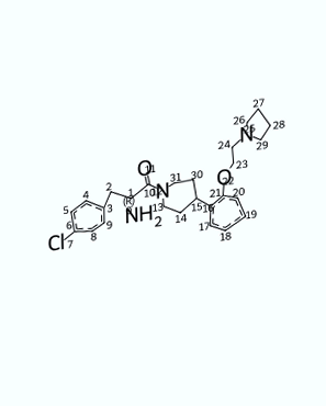 N[C@H](Cc1ccc(Cl)cc1)C(=O)N1CCC(c2ccccc2OCCN2CCCC2)CC1